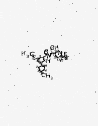 CSc1cc(C(=O)N[C@H](CO)c2ccc(C(F)(F)F)nc2)cc(-c2ccc(C)cc2)c1